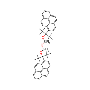 CC(C)(C)C(O[SiH2]O[SiH2]OC(c1ccc2ccc3cccc4ccc1c2c34)(C(C)(C)C)C(C)(C)C)(c1ccc2ccc3cccc4ccc1c2c34)C(C)(C)C